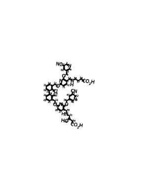 N#Cc1cncc(COc2nc(OCc3cccc(-c4cccc(COc5ccc(CNC[C@@H](O)CC(=O)O)c(OCc6cncc(C#N)c6)n5)c4Cl)c3Cl)ccc2CNCCCC(=O)O)c1